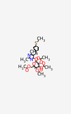 CCSc1ccc(Cc2c(C)nc(C)nc2O[C@@H]2O[C@H](COC(C)=O)[C@@H](OC(C)=O)[C@H](OC(C)=O)[C@H]2OC(C)=O)cc1